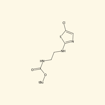 CC(C)(C)OC(=O)NCCNc1ncc(Cl)s1